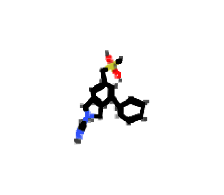 CS(=O)(=O)Cc1cc2c(c(-c3ccccc3)c1)CN(C#N)C2